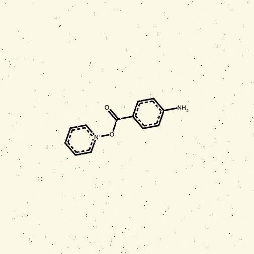 Nc1ccc(C(=O)O[n+]2ccccc2)cc1